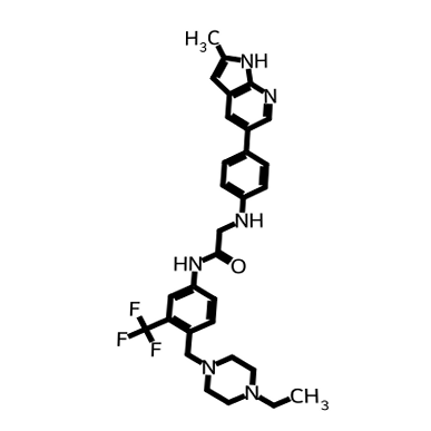 CCN1CCN(Cc2ccc(NC(=O)CNc3ccc(-c4cnc5[nH]c(C)cc5c4)cc3)cc2C(F)(F)F)CC1